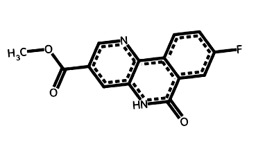 COC(=O)c1cnc2c(c1)[nH]c(=O)c1cc(F)ccc12